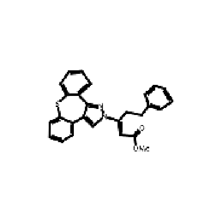 COC(=O)C=C(CCc1ccccc1)n1cc2c(n1)-c1ccccc1Sc1ccccc1-2